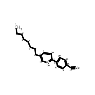 CCCCCCCCc1ccc(-c2ccc(C#N)cc2)nc1